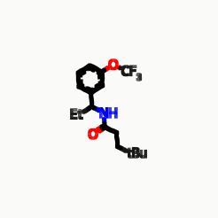 CCC(NC(=O)CCC(C)(C)C)c1cccc(OC(F)(F)F)c1